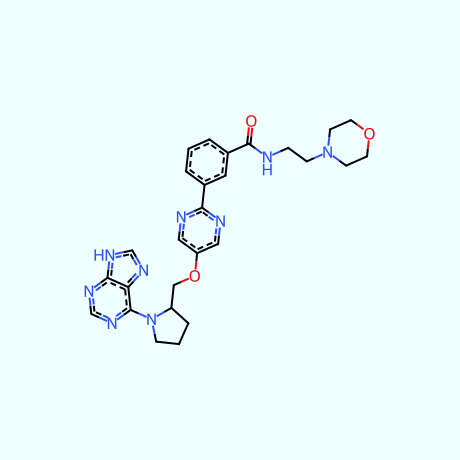 O=C(NCCN1CCOCC1)c1cccc(-c2ncc(OCC3CCCN3c3ncnc4[nH]cnc34)cn2)c1